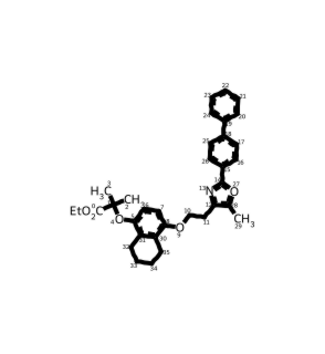 CCOC(=O)C(C)(C)Oc1ccc(OCCc2nc(-c3ccc(-c4ccccc4)cc3)oc2C)c2c1CCCC2